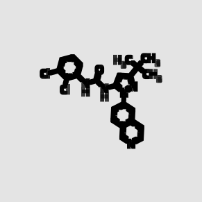 CC(C)(C)c1cc(NC(=O)Nc2cccc(Cl)c2Cl)n(-c2ccc3cnccc3c2)n1